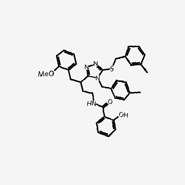 COc1ccccc1CC(CCNC(=O)c1ccccc1O)c1nnc(SCc2cccc(C)c2)n1Cc1ccc(C)cc1